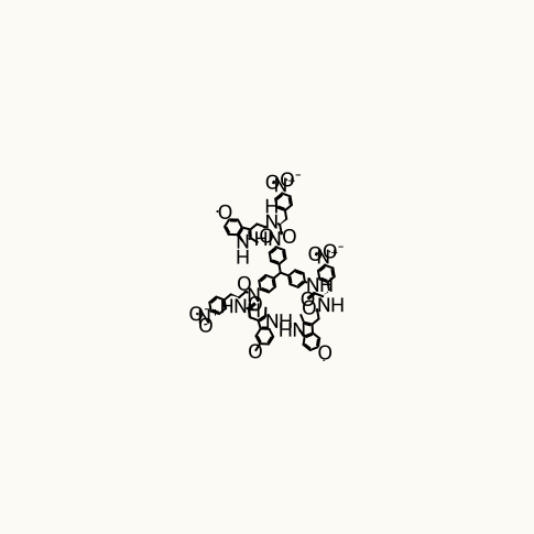 COc1ccc2[nH]c(C)c(CC(=O)N[C@@H](Cc3ccc([N+](=O)[O-])cc3)C(=O)Nc3ccc(C(c4ccc(NC(=O)[C@H](Cc5ccc([N+](=O)[O-])cc5)NC(=O)Cc5c(C)[nH]c6ccc(OC)cc56)cc4)c4ccc(NC(=O)[C@H](Cc5ccc([N+](=O)[O-])cc5)NC(=O)Cc5c(C)[nH]c6ccc(OC)cc56)cc4)cc3)c2c1